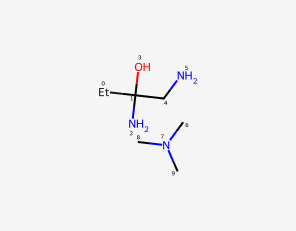 CCC(N)(O)CN.CN(C)C